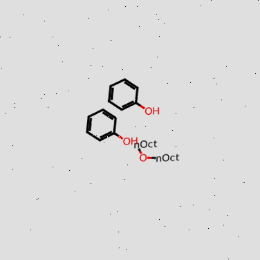 CCCCCCCCOCCCCCCCC.Oc1ccccc1.Oc1ccccc1